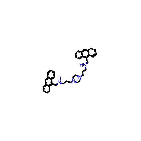 c1ccc2c(CNCCCN3CCN(CCCNCc4c5ccccc5cc5ccccc45)CC3)c3ccccc3cc2c1